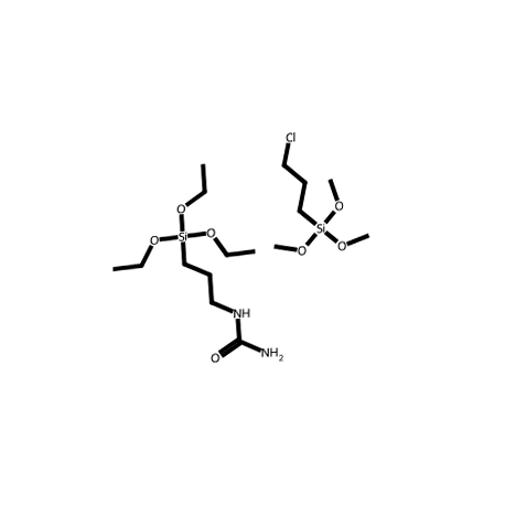 CCO[Si](CCCNC(N)=O)(OCC)OCC.CO[Si](CCCCl)(OC)OC